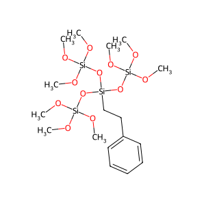 CO[Si](OC)(OC)O[Si](CCc1ccccc1)(O[Si](OC)(OC)OC)O[Si](OC)(OC)OC